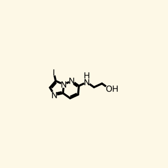 OCCNc1ccc2ncc(I)n2n1